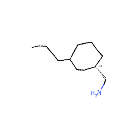 CCCC1CCC[C@H](CN)C1